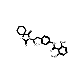 COc1cccc(OC)c1C(=O)Nc1ccc(CC(C(=O)O)N2C(=O)NC3(CCCCC3)C2=O)cc1